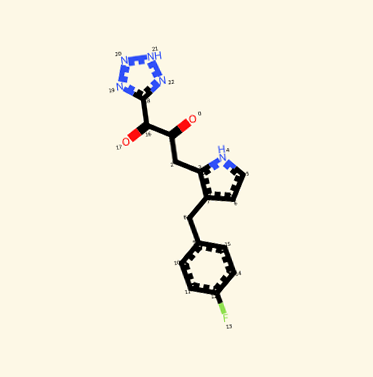 O=C(Cc1[nH]ccc1Cc1ccc(F)cc1)C(=O)c1nn[nH]n1